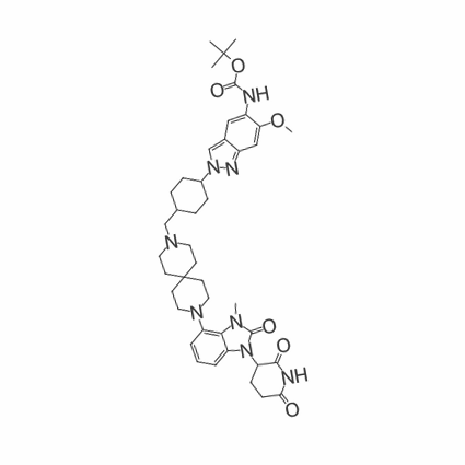 COc1cc2nn(C3CCC(CN4CCC5(CC4)CCN(c4cccc6c4n(C)c(=O)n6C4CCC(=O)NC4=O)CC5)CC3)cc2cc1NC(=O)OC(C)(C)C